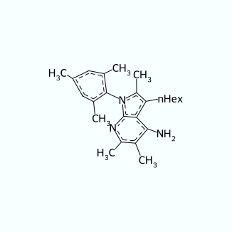 CCCCCCc1c(C)n(-c2c(C)cc(C)cc2C)c2nc(C)c(C)c(N)c12